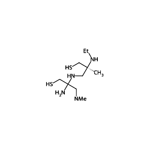 CCN[C@](C)(CS)CNC(N)(CS)CNC